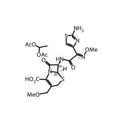 CC(=O)OC(C)OC(C)=O.COCC1=C(C(=O)O)N2C(=O)[C@@H](NC(=O)/C(=N/OC)c3csc(N)n3)[C@H]2SC1